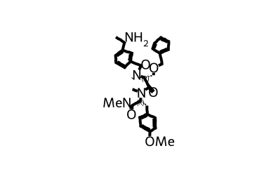 CNC(=O)[C@@H](Cc1ccc(OC)cc1)N(C)C(=O)[C@@H](COCc1ccccc1)N(C)C(=O)c1cccc(C(C)N)c1